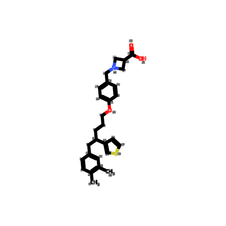 Cc1ccc(CC(CCCOc2ccc(CN3CC(C(=O)O)C3)cc2)c2ccsc2)cc1C